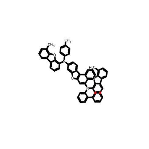 Cc1ccc(N(c2ccc3c(c2)oc2cc(N(c4ccccc4-c4ccccc4)c4cccc5c4oc4c(C)cccc45)c4ccccc4c23)c2cccc3c2oc2c(C)cccc23)cc1